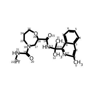 Cc1cc2ccccc2c(C(C)(C)NC(=O)C2CN(C(=O)NC(C)C)CCCO2)n1